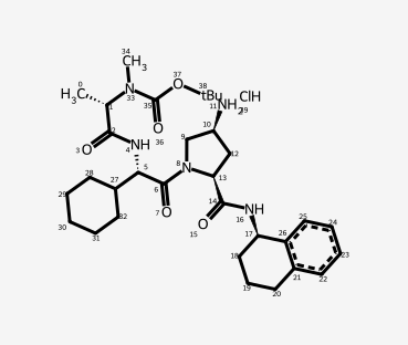 C[C@@H](C(=O)N[C@H](C(=O)N1C[C@@H](N)C[C@H]1C(=O)N[C@@H]1CCCc2ccccc21)C1CCCCC1)N(C)C(=O)OC(C)(C)C.Cl